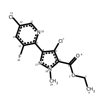 CCOC(=O)c1c(Cl)c(-c2ncc(Cl)cc2F)nn1C